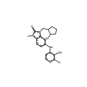 CCN1CCCC1Cn1c(=O)n(C)c2ccc(Nc3ccnc(Cl)c3C#N)cc21